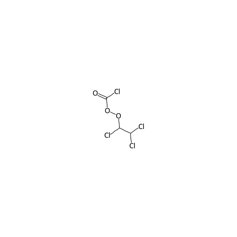 O=C(Cl)OOC(Cl)C(Cl)Cl